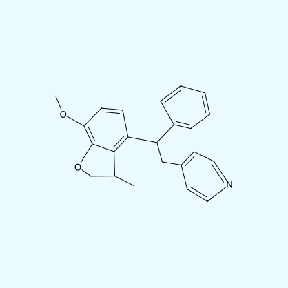 COc1ccc(C(Cc2ccncc2)c2ccccc2)c2c1OCC2C